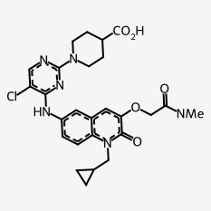 CNC(=O)COc1cc2cc(Nc3nc(N4CCC(C(=O)O)CC4)ncc3Cl)ccc2n(CC2CC2)c1=O